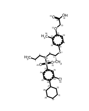 CCCN(C[C@@H](C)Sc1ccc(OCC(=O)O)c(C)c1)S(=O)(=O)c1ccc(C2CCCCC2)c(Cl)c1